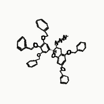 [N-]=[N+]=NC1Cc2c(OCc3ccccc3)cc(OCc3ccccc3)cc2O[C@@H]1c1cc(OCc2ccccc2)c(OCc2ccccc2)c(OCc2ccccc2)c1